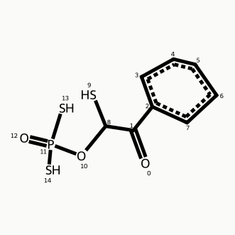 O=C(c1ccccc1)C(S)OP(=O)(S)S